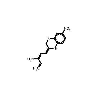 C=C/C(=C\C=C1/CSc2cc([N+](=O)[O-])ccc2N1)[N+](=O)[O-]